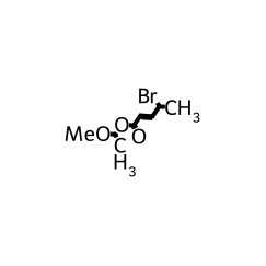 COC(C)OC(=O)/C=C/C(C)Br